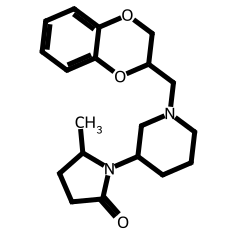 CC1CCC(=O)N1C1CCCN(CC2COc3ccccc3O2)C1